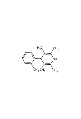 CC1=C(C)C(c2ccccc2C)C(C)=C(C)N1